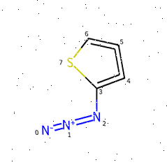 [N-]=[N+]=NC1=C=C=CS1